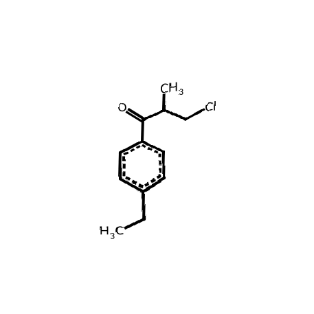 CCc1ccc(C(=O)C(C)CCl)cc1